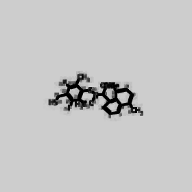 COC(c1cccc2c(C)ccc(C=O)c12)N(C)Sc1c(C)c(F)c(CS)c(F)c1C